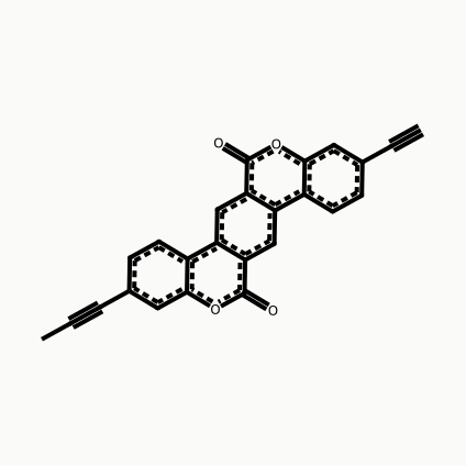 C#Cc1ccc2c(c1)oc(=O)c1cc3c(cc12)c(=O)oc1cc(C#CC)ccc13